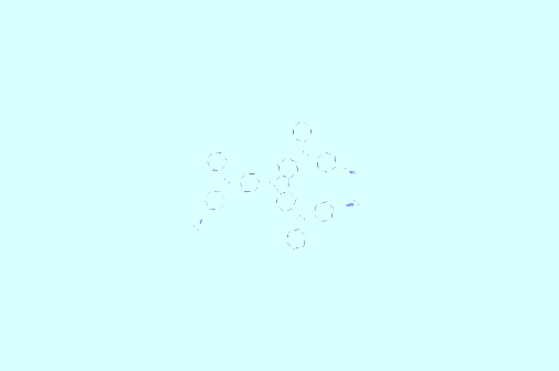 [C-]#[N+]c1ccc(N(c2ccccc2)c2ccc3c(c2)c2cc(N(c4ccccc4)c4ccc(C#N)cc4)ccc2n3-c2ccc(N(c3ccccc3)c3ccc(C#N)cc3)cc2)cc1